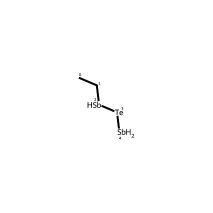 C[CH2][SbH][Te][SbH2]